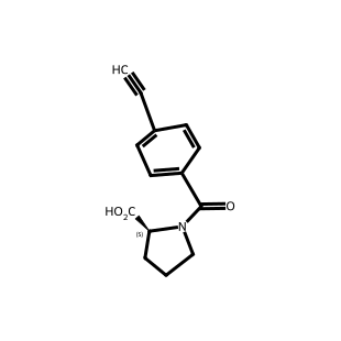 C#Cc1ccc(C(=O)N2CCC[C@H]2C(=O)O)cc1